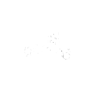 CS(=O)(=O)NC1CCN(c2ncccc2O)CC1COC1CCC(c2ccccc2)CC1